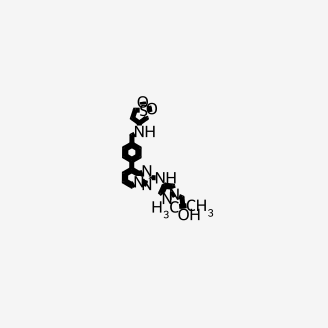 CC(C)(O)Cn1cc(Nc2nc3c(-c4ccc(CNC5CCS(=O)(=O)C5)cc4)cccn3n2)cn1